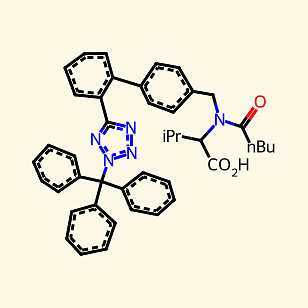 CCCCC(=O)N(Cc1ccc(-c2ccccc2-c2nnn(C(c3ccccc3)(c3ccccc3)c3ccccc3)n2)cc1)C(C(=O)O)C(C)C